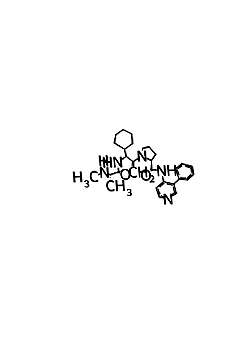 C=C([C@@H](NC(=O)[C@H](C)NC)C1CCCCC1)N1CCC[C@H]1C(=O)Nc1ccncc1-c1ccccc1